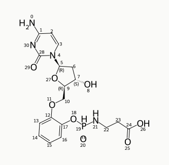 Nc1ccn([C@H]2C[C@H](O)[C@@H](COc3ccccc3O[PH](=O)NCCC(=O)O)O2)c(=O)n1